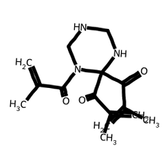 C=C(C)C(=O)N1CNCNC1(C(=O)C(=C)C)C(=O)C(=C)C